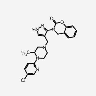 CC1CN(Cc2c[nH]nc2N2Cc3ccccc3OC2=O)CCN1c1ccc(Cl)cn1